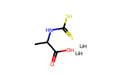 CC(NC(=S)S)C(=O)O.[LiH].[LiH]